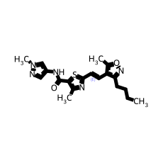 CCCCc1noc(C)c1/C=C/c1nc(C)c(C(=O)Nc2cnn(C)c2)s1